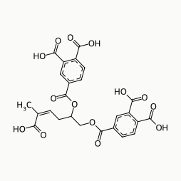 CC(=CCC(COC(=O)c1ccc(C(=O)O)c(C(=O)O)c1)OC(=O)c1ccc(C(=O)O)c(C(=O)O)c1)C(=O)O